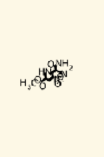 COC(=O)C1=CNC(=C(C#N)C(N)=O)C([N+](=O)[O-])=C1